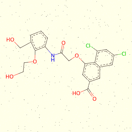 O=C(COc1cc(C(=O)O)cc2cc(Cl)cc(Cl)c12)Nc1cccc(CO)c1OCCO